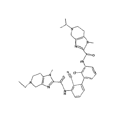 CCN1CCc2c(nc(C(=O)Nc3cccc(-c4cccc(NC(=O)c5nc6c(n5C)CCN(C(C)C)C6)c4Cl)c3C#N)n2C)C1